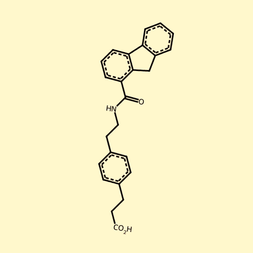 O=C(O)CCc1ccc(CCNC(=O)c2cccc3c2Cc2ccccc2-3)cc1